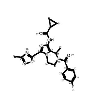 Cc1nsc(-c2nc(NC(=O)C3CC3)c3n2CCN(C(=O)c2ccc(F)cc2)C3C)n1